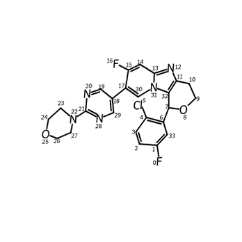 Fc1ccc(Cl)c(C2OCCc3nc4cc(F)c(-c5cnc(N6CCOCC6)nc5)cn4c32)c1